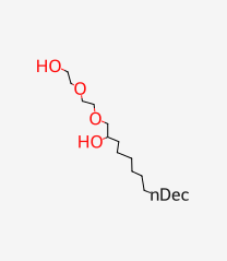 CCCCCCCCCCCCCCCCC(O)COCCOCCO